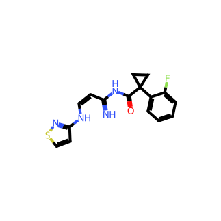 N=C(/C=C\Nc1ccsn1)NC(=O)C1(c2ccccc2F)CC1